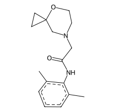 Cc1cccc(C)c1NC(=O)CN1CCOC2(CC2)C1